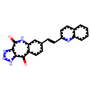 O=c1[nH]c2cc(/C=C/c3ccc4ccccc4n3)ccc2c(=O)c2[nH]nnc12